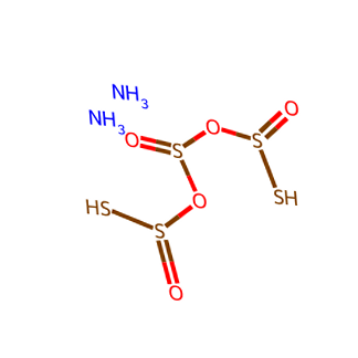 N.N.O=S(S)OS(=O)OS(=O)S